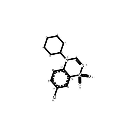 O=S1(=O)N=CN(C2CCCCC2)c2ccc(Cl)cc21